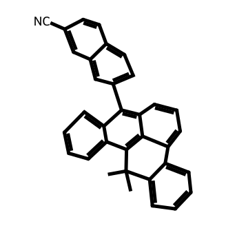 CC1(C)c2ccccc2-c2cccc3c(-c4ccc5ccc(C#N)cc5c4)c4ccccc4c1c23